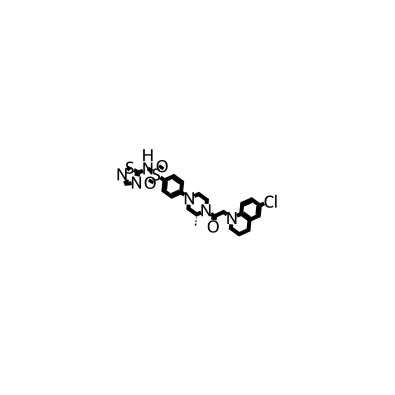 C[C@@H]1CN(c2ccc(S(=O)(=O)Nc3ncns3)cc2)CCN1C(=O)CN1CCCc2cc(Cl)ccc21